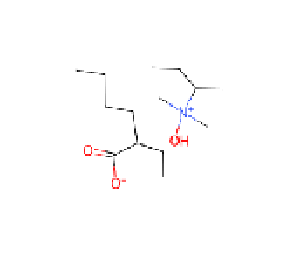 CCC(C)[N+](C)(C)O.CCCCC(CC)C(=O)[O-]